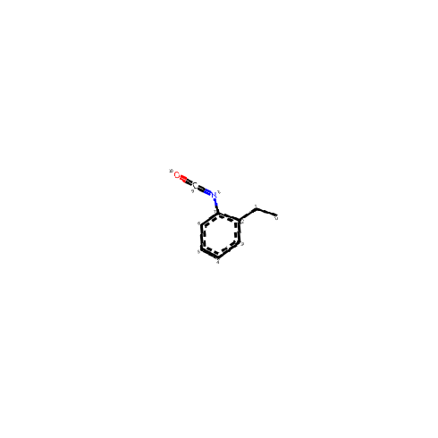 CCc1ccccc1N=C=O